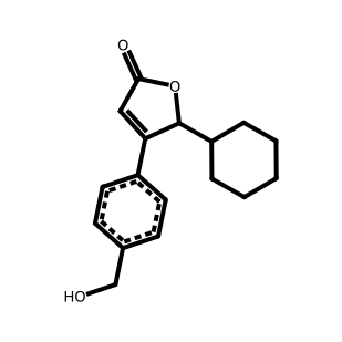 O=C1C=C(c2ccc(CO)cc2)C(C2CCCCC2)O1